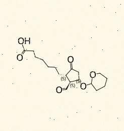 O=C[C@@H]1[C@@H](OC2CCCCO2)CC(=O)[C@H]1CCCCCCC(=O)O